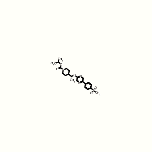 CC(C)OC(=O)N1CCC([C@@H](C)Oc2cnc(-c3ccc(S(C)(=O)=O)cc3)cn2)CC1